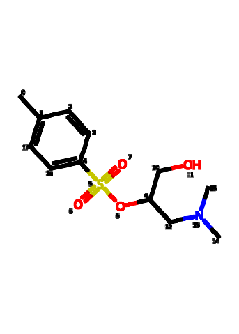 Cc1ccc(S(=O)(=O)OC(CO)CN(C)C)cc1